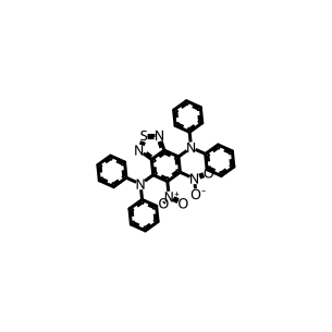 O=[N+]([O-])c1c([N+](=O)[O-])c(N(c2ccccc2)c2ccccc2)c2nsnc2c1N(c1ccccc1)c1ccccc1